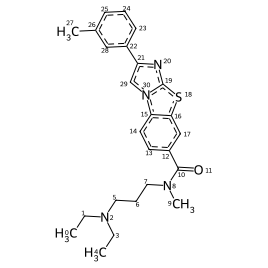 CCN(CC)CCCN(C)C(=O)c1ccc2c(c1)sc1nc(-c3cccc(C)c3)cn12